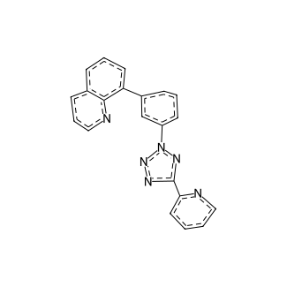 c1ccc(-c2nnn(-c3cccc(-c4cccc5cccnc45)c3)n2)nc1